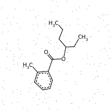 CCCC(CC)OC(=O)c1ccccc1C